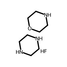 C1CNCCN1.C1COCCN1.F